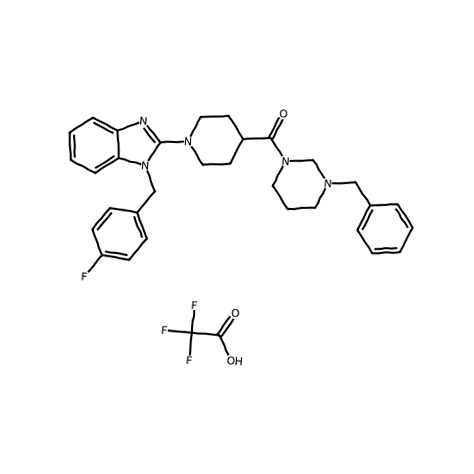 O=C(C1CCN(c2nc3ccccc3n2Cc2ccc(F)cc2)CC1)N1CCCN(Cc2ccccc2)C1.O=C(O)C(F)(F)F